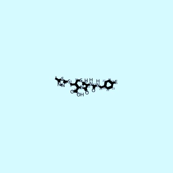 Cc1nnc(SCC2=C(C(=O)O)N3C(=O)C(NC(=O)NCc4ccc(F)cc4)[C@@H]3SC2)s1